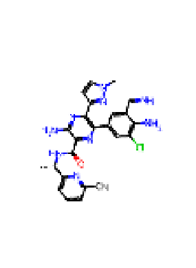 C[C@H](NC(=O)c1nc(-c2cc(Cl)c(N)c(C=N)c2)c(-c2ccn(C)n2)nc1N)c1cccc(C#N)n1